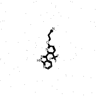 N#CCCOc1ccc(C(F)(F)F)c(-c2n[nH]c3ncccc23)n1